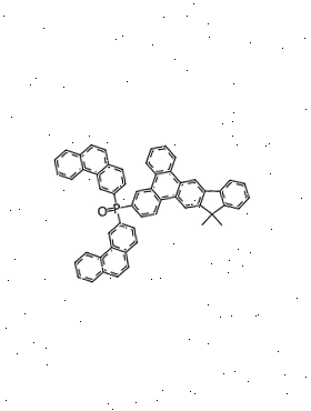 CC1(C)c2ccccc2-c2cc3c4ccccc4c4cc(P(=O)(c5ccc6ccc7ccccc7c6c5)c5ccc6ccc7ccccc7c6c5)ccc4c3cc21